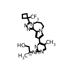 Cc1cnc(N[C@@H](C)CO)nc1-c1cc2n(c1)CCCn1c-2nnc1C1(C(F)(F)F)CCC1